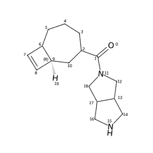 O=C(C1CCCC2C=C[C@@H]2C1)N1CC2CNCC2C1